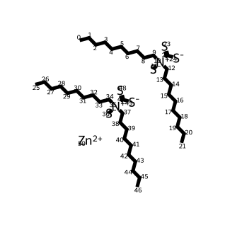 CCCCCCCCCC[N+]([S-])(CCCCCCCCCC)C(=S)[S-].CCCCCCCCCC[N+]([S-])(CCCCCCCCCC)C(=S)[S-].[Zn+2]